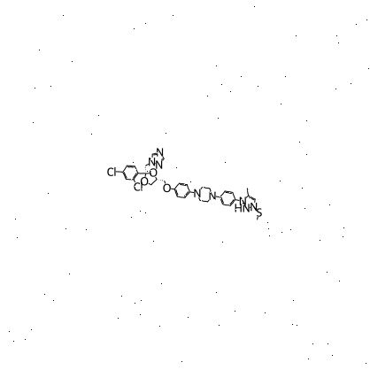 CSN1C=C(C)N(c2ccc(N3CCN(c4ccc(OC[C@@H]5CO[C@@](Cn6cncn6)(c6ccc(Cl)cc6Cl)O5)cc4)CC3)cc2)N1